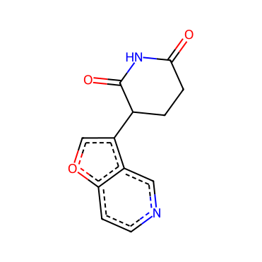 O=C1CCC(c2coc3ccncc23)C(=O)N1